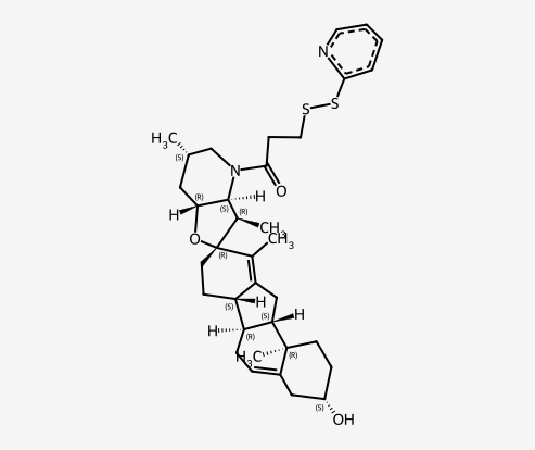 CC1=C2C[C@H]3[C@@H](CC=C4C[C@@H](O)CC[C@@]43C)[C@@H]2CC[C@]12O[C@@H]1C[C@H](C)CN(C(=O)CCSSc3ccccn3)[C@H]1[C@H]2C